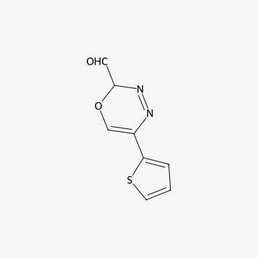 O=CC1N=NC(c2cccs2)=CO1